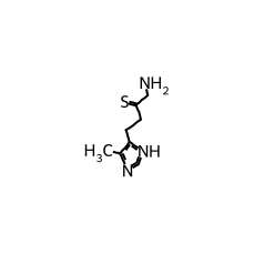 Cc1nc[nH]c1CCC(=S)CN